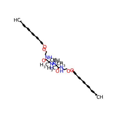 C#CC#CC#CC#CC#CC#COOCCNC(=O)C(C)(C)NN(C)C(C)(C)C(=O)NCCOOC#CC#CC#CC#CC#CC#C